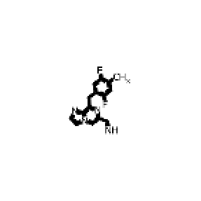 Cc1cc(F)c(Cc2nc(C=N)cn3ccnc23)cc1F